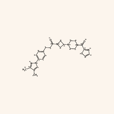 Cc1cn(-c2ccc(CCC(=O)N3CC(N4CCN(C(=O)c5nccs5)CC4)C3)cc2)nc1C